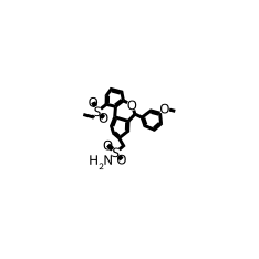 CCS(=O)(=O)c1cccc2c1-c1ccc(CS(N)(=O)=O)cc1C(c1cccc(OC)c1)O2